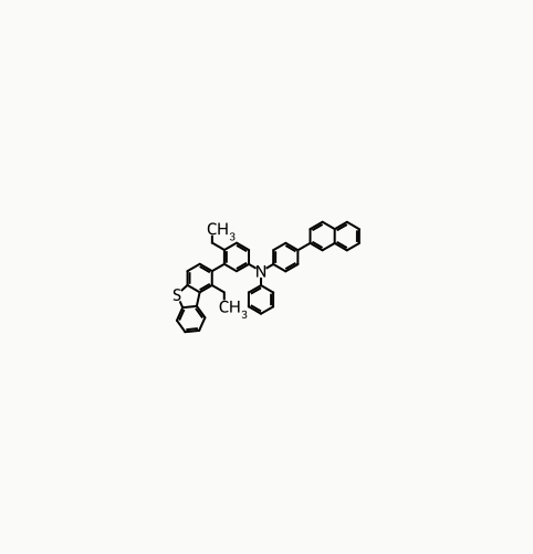 CCc1ccc(N(c2ccccc2)c2ccc(-c3ccc4ccccc4c3)cc2)cc1-c1ccc2sc3ccccc3c2c1CC